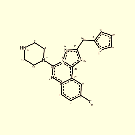 Clc1ccc2nc(N3CCNCC3)n3nc(Cc4cccs4)nc3c2c1